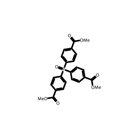 COC(=O)c1ccc(P(=O)(c2ccc(C(=O)OC)cc2)c2ccc(C(=O)OC)cc2)cc1